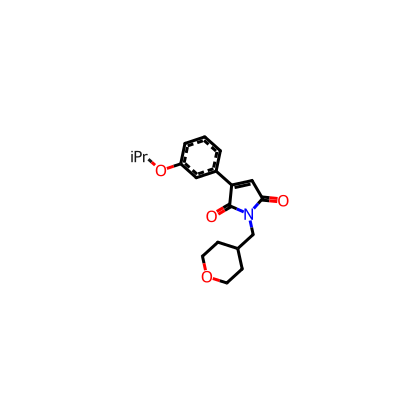 CC(C)Oc1cccc(C2=CC(=O)N(CC3CCOCC3)C2=O)c1